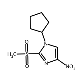 CS(=O)(=O)c1nc([N+](=O)[O-])cn1C1CCCC1